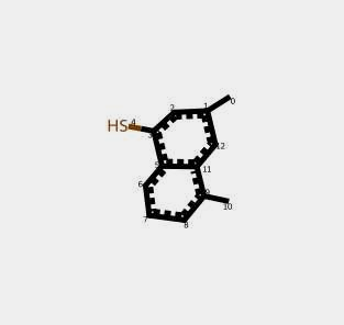 Cc1cc(S)c2cccc(C)c2c1